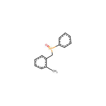 Cc1ccccc1C[PH](=O)c1ccccc1